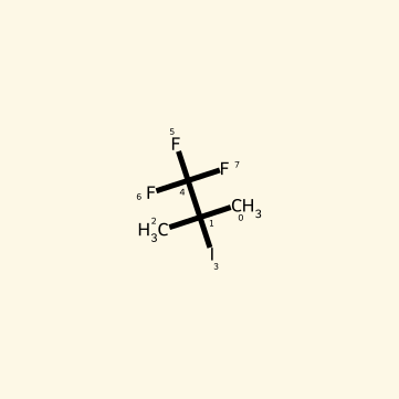 CC(C)(I)C(F)(F)F